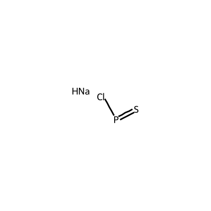 S=PCl.[NaH]